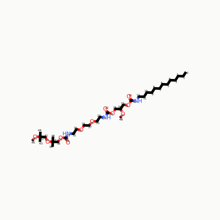 CCCCCCCCCCCCCNC(=O)OCC(COC(=O)NCCOCCOCCNC(=O)OCC(C)(C)OCC(C)(C)OC)OC